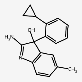 Cc1ccc2c(c1)C(O)(c1ccccc1C1CC1)C(N)=N2